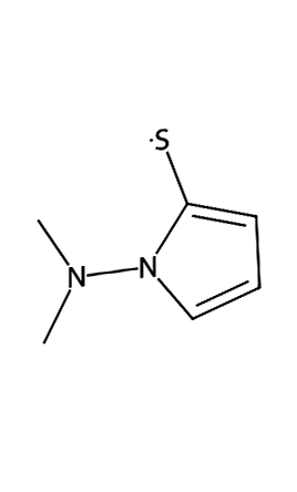 CN(C)n1cccc1[S]